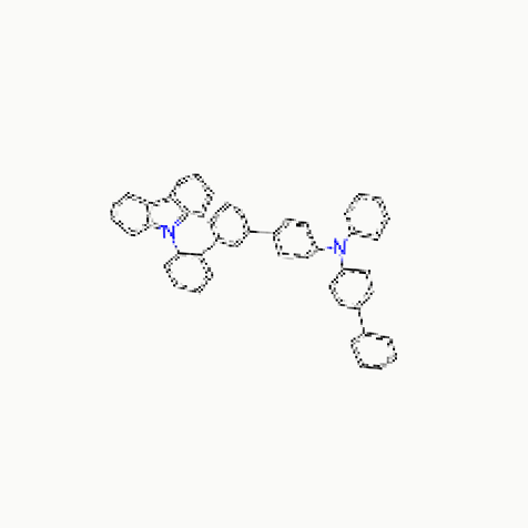 c1ccc(-c2ccc(N(c3ccccc3)c3ccc(-c4cccc(-c5ccccc5-n5c6ccccc6c6ccccc65)c4)cc3)cc2)cc1